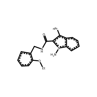 CCCc1c(C(=O)NCc2ccccc2OCC)n(N)c2ccccc12